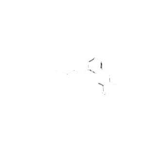 CCCCCCCCCCCCOc1cccc(OC(CC)C([NH])=O)c1